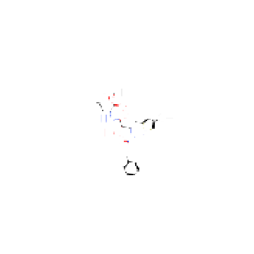 COC(=O)[C@H](CC(C)C)NC(=O)[C@H](O)[C@H](Cc1cc(C)cs1)NC(=O)OCc1ccccc1